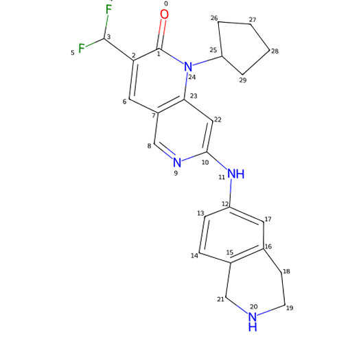 O=c1c(C(F)F)cc2cnc(Nc3ccc4c(c3)CCNC4)cc2n1C1CCCC1